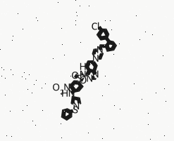 O=[N+]([O-])c1cc(S(=O)(=O)Nc2ncnc3cc(N4CCN(Cc5ccccc5-c5ccc(Cl)cc5)CC4)ccc23)ccc1N[C@@H]1CCN(Sc2ccccc2)C1